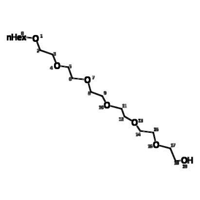 CCCCCCOCCOCCOCCOCCOCCOCCO